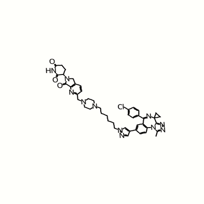 Cc1nnc2n1-c1ccc(-c3cnn(CCCCCCN4CCN(Cc5ccc6c(n5)C(=O)N(C5CCC(=O)NC5=O)C6)CC4)c3)cc1C(c1ccc(Cl)cc1)=NC21CC1